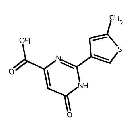 Cc1cc(-c2nc(C(=O)O)cc(=O)[nH]2)cs1